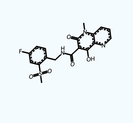 Cn1c(=O)c(C(=O)NCc2ccc(F)cc2S(C)(=O)=O)c(O)c2ncccc21